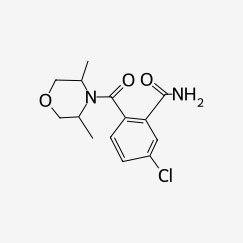 CC1COCC(C)N1C(=O)c1ccc(Cl)cc1C(N)=O